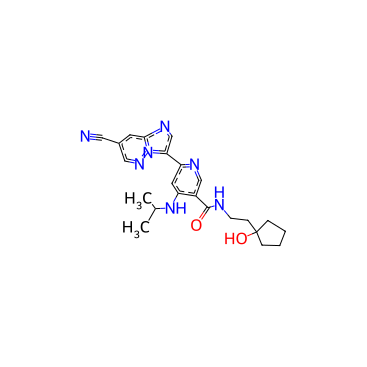 CC(C)Nc1cc(-c2cnc3cc(C#N)cnn23)ncc1C(=O)NCCC1(O)CCCC1